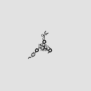 CCCN1CCN(c2ccc(Nc3ncc(C(=O)Nc4c(C)cccc4C)c(Oc4ccc(OCC(=O)N(CC)CC)cc4OC)n3)cc2)CC1